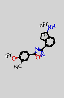 CCCN[C@@H]1CCc2c(-c3noc(-c4ccc(OC(C)C)c(C#N)c4)n3)cccc21